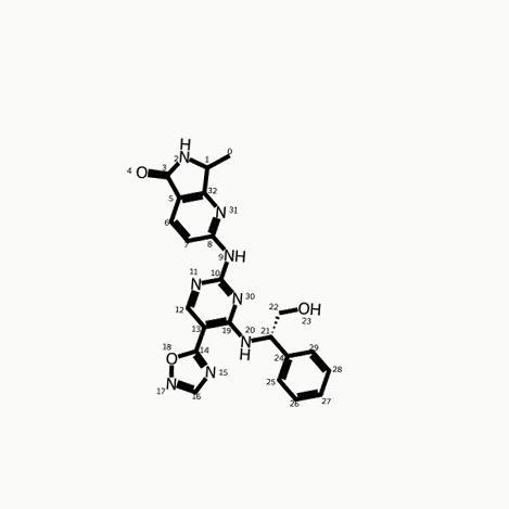 CC1NC(=O)c2ccc(Nc3ncc(-c4ncno4)c(N[C@H](CO)c4ccccc4)n3)nc21